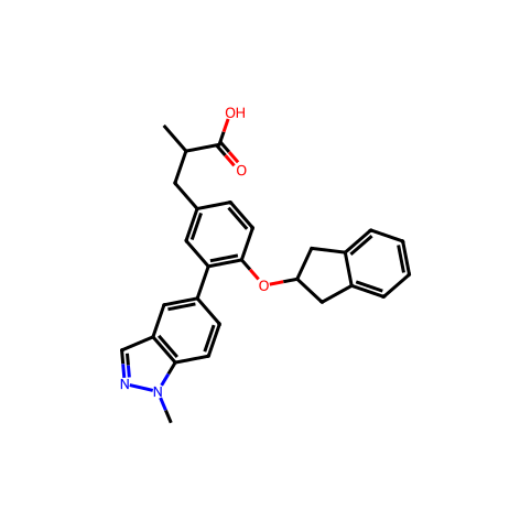 CC(Cc1ccc(OC2Cc3ccccc3C2)c(-c2ccc3c(cnn3C)c2)c1)C(=O)O